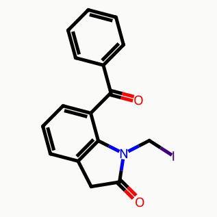 O=C(c1ccccc1)c1cccc2c1N(CI)C(=O)C2